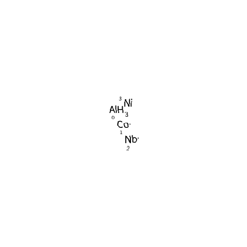 [AlH3].[Co].[Nb].[Ni]